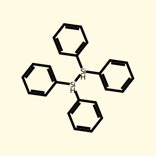 c1ccc([SiH](c2ccccc2)[SiH](c2ccccc2)c2ccccc2)cc1